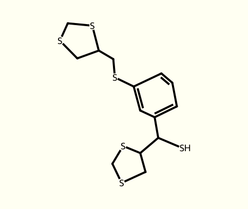 SC(c1cccc(SCC2CSCS2)c1)C1CSCS1